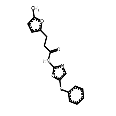 Cc1ccc(CCC(=O)Nc2ncc(Sc3ccccc3)s2)o1